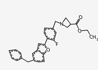 CCOC(=O)C1CN(Cc2ccc(-c3cc4cc(Cc5ccccc5)ccc4o3)c(F)c2)C1